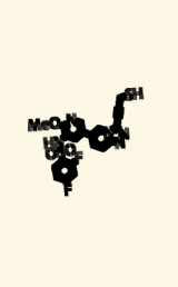 COc1ncc(-c2ccc3nnc(C#CCS)n3c2)cc1NS(=O)(=O)c1ccc(F)cc1F